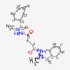 CN(NC(=O)CCC(=O)NN(C)C(=S)c1ccccc1)C(=S)c1ccccc1